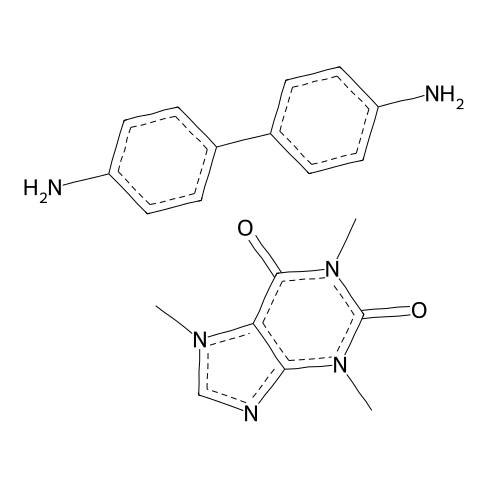 Cn1c(=O)c2c(ncn2C)n(C)c1=O.Nc1ccc(-c2ccc(N)cc2)cc1